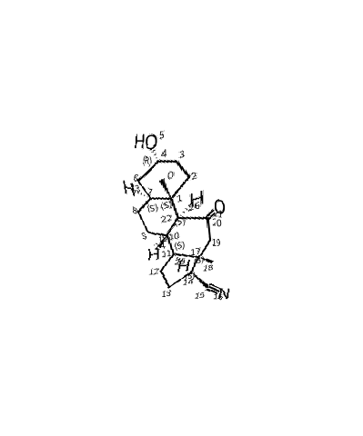 C[C@]12CC[C@@H](O)C[C@@H]1CC[C@H]1[C@@H]3CC[C@H](C#N)[C@@]3(C)CC(=O)[C@@H]12